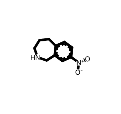 O=[N+]([O-])c1ccc2c(c1)CNCCC2